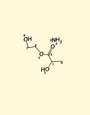 CC(O)C(=O)OCCO.N